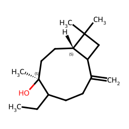 C=C1CCC(CC)[C@@](C)(O)CC[C@H]2C1CC2(C)C